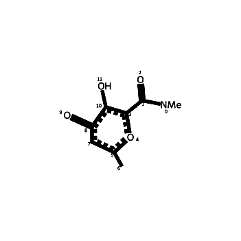 CNC(=O)c1oc(C)cc(=O)c1O